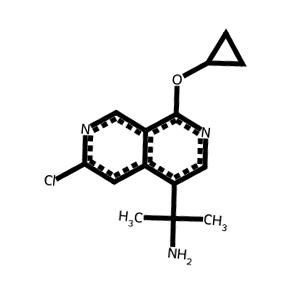 CC(C)(N)c1cnc(OC2CC2)c2cnc(Cl)cc12